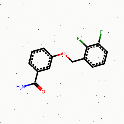 NC(=O)c1cccc(OCc2cccc(F)c2F)c1